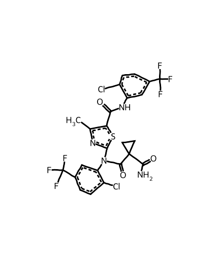 Cc1nc(N(C(=O)C2(C(N)=O)CC2)c2cc(C(F)(F)F)ccc2Cl)sc1C(=O)Nc1cc(C(F)(F)F)ccc1Cl